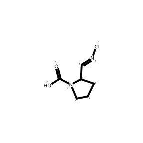 O=C(O)N1CCCC1/C=N/Cl